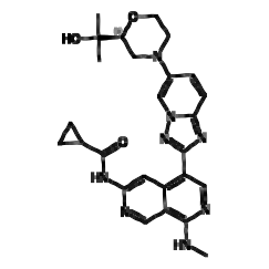 CNc1ncc(-c2nc3ccc(N4CCO[C@H](C(C)(C)O)C4)cn3n2)c2cc(NC(=O)C3CC3)ncc12